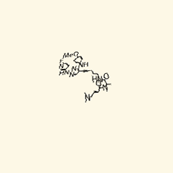 COc1ccc(Nc2nc(Nc3ccc(F)nc3)ncc2C#CCCCNC(=O)C(C)N(C)C(=O)C=CCN(C)C)cc1